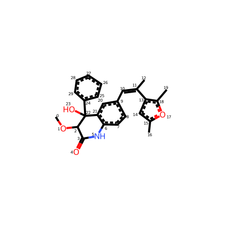 COC1C(=O)Nc2ccc(C=C(C)c3cc(C)oc3C)cc2C1(O)c1ccccc1